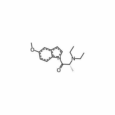 CCN(CC)[C@H](C)C(=O)n1ccc2cc(OC)ccc21